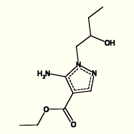 CCOC(=O)c1cnn(CC(O)CC)c1N